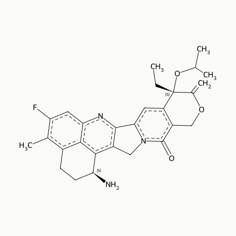 C=C1OCc2c(cc3n(c2=O)Cc2c-3nc3cc(F)c(C)c4c3c2[C@@H](N)CC4)[C@]1(CC)OC(C)C